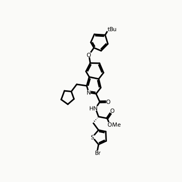 COC(=O)[C@H](Cc1ccc(Br)s1)NC(=O)c1cc2ccc(Oc3ccc(C(C)(C)C)cc3)cc2c(CC2CCCC2)n1